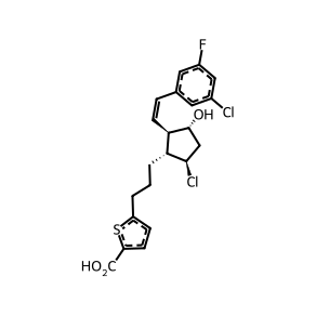 O=C(O)c1ccc(CCC[C@@H]2[C@@H](/C=C\c3cc(F)cc(Cl)c3)[C@H](O)C[C@H]2Cl)s1